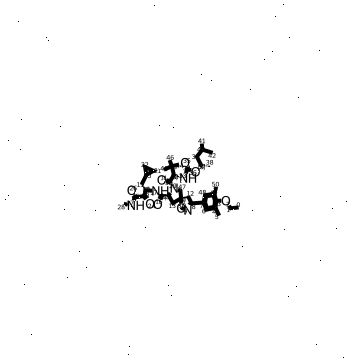 CCOc1c(C)cc(C2=NO[C@]3(C2)C[C@@H](C(=O)N[C@@H](CC2CC2)C(=O)C(=O)NC)N(C(=O)[C@@H](NC(=O)O[C@@H](C)CC(C)C)C(C)(C)C)C3)cc1C